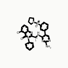 C[C@@H](Nc1nc(N)ncc1-c1cccc(S(=O)(=O)N2CCCC2)c1)c1nc2cccc(Cl)c2c(=O)n1-c1ccccc1